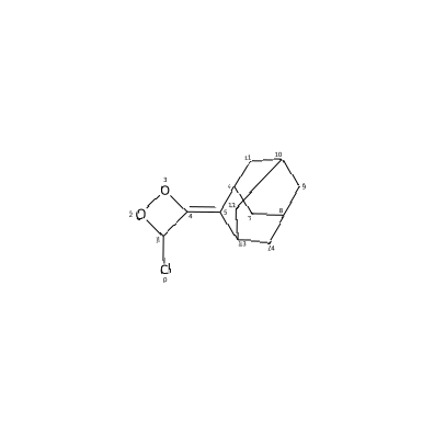 ClC1OOC1=C1C2CC3CC(C2)CC1C3